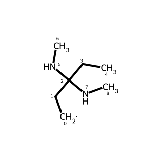 [CH2]CC(CC)(NC)NC